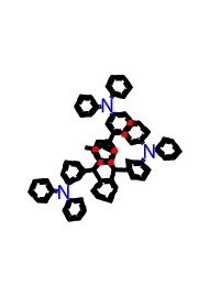 CC1C=CC2=C1C1(c3cccc(N(c4ccccc4)c4ccccc4)c3)c3ccccc3C2(c2cccc(N(c3ccccc3)c3ccccc3)c2)c2cc(-c3cccc(N(c4ccccc4)c4ccccc4)c3)ccc21